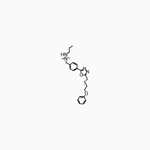 CCCN[N+](C)(C)Cc1ccc(-c2nnc(CSCCOc3ccccc3)o2)cc1